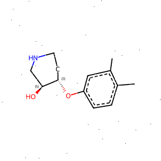 Cc1ccc(O[C@H]2CCNC[C@@H]2O)cc1C